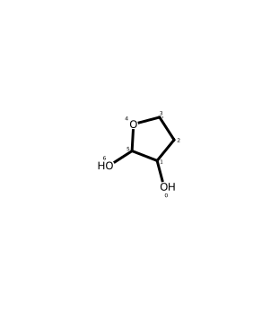 OC1C[CH]OC1O